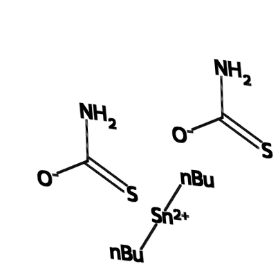 CCC[CH2][Sn+2][CH2]CCC.NC([O-])=S.NC([O-])=S